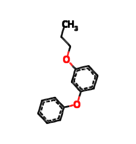 CCCOc1cccc(Oc2ccccc2)c1